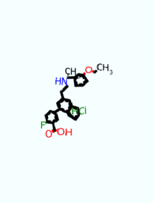 CCOc1cccc([C@@H](C)NCCc2cc(-c3ccc(F)c(C(=O)O)c3)c3ccccc3c2)c1.Cl